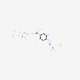 CCN(C)C=Nc1cc(C)c(C(C)=NOCC[Si](C)(C)C)cc1C